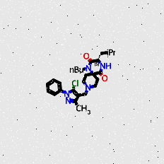 CCCCN1C(=O)[C@H](CC(C)C)NC(=O)C12CCN(Cc1c(C)nn(-c3ccccc3)c1Cl)CC2